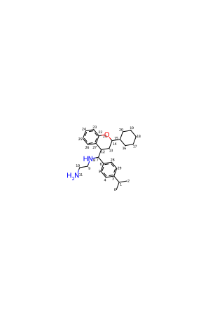 CC(C)c1ccc(C(NCCN)C2CC(C3CCCCC3)Oc3ccccc32)cc1